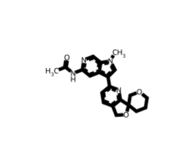 CC(=O)Nc1cc2c(-c3ccc4c(n3)C3(CCCOC3)OC4)cn(C)c2cn1